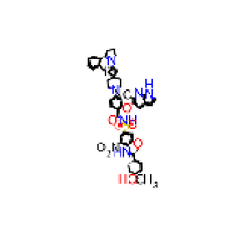 CC(C)c1ccccc1[C@H]1CCCN1C1CC2(CCN(c3ccc(C(=O)NS(=O)(=O)c4cc5c(c([N+](=O)[O-])c4)N[C@@H]([C@H]4CC[C@](C)(O)CC4)CO5)c(Oc4cc5cc[nH]c5nc4C#N)c3)CC2)C1